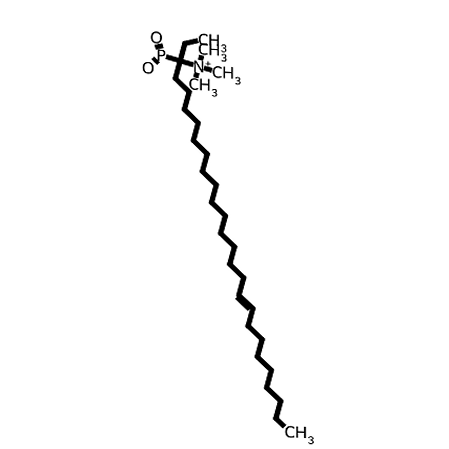 CCCCCCCCC=CCCCCCCCCCCCCCCC(CC)(P(=O)=O)[N+](C)(C)C